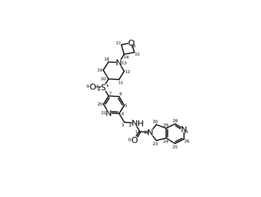 O=C(NCc1ccc([S+]([O-])C2CCN(C3COC3)CC2)cn1)N1Cc2ccncc2C1